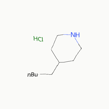 CCCCCC1CCNCC1.Cl